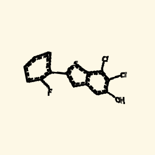 Oc1cc2cc(-c3ccccc3F)sc2c(Cl)c1Cl